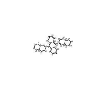 c1ccc2cc(-c3c4ccncc4c(-c4ccc5ccccc5c4)c4ccncc34)ccc2c1